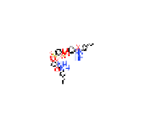 C=CCc1ccc(NC(=O)Nc2cccc(OS(=O)(=O)c3cccc(S(=O)(=O)Oc4cccc(NC(=O)Nc5ccc(CC=C)cc5)c4)c3)c2)cc1